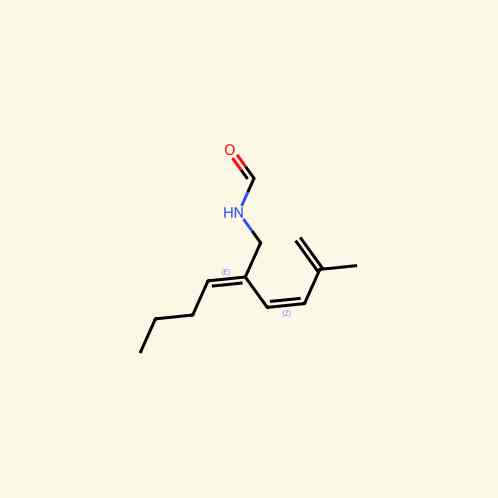 C=C(C)/C=C\C(=C/CCC)CNC=O